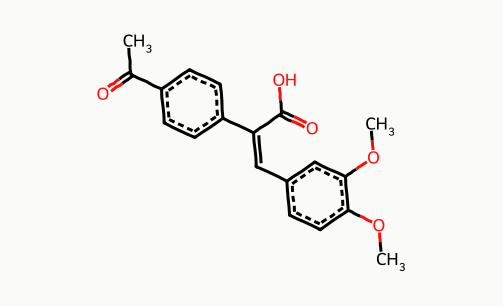 COc1ccc(C=C(C(=O)O)c2ccc(C(C)=O)cc2)cc1OC